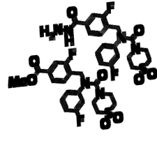 COC(=O)c1ccc(CN(C(=O)N2CCS(=O)(=O)CC2)c2cccc(F)c2)c(F)c1.NNC(=O)c1ccc(CN(C(=O)N2CCS(=O)(=O)CC2)c2cccc(F)c2)c(F)c1